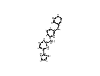 c1ccc(Sc2cccc(Nc3nccc(-c4nccs4)n3)n2)cc1